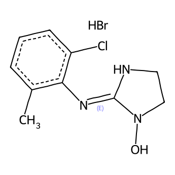 Br.Cc1cccc(Cl)c1/N=C1\NCCN1O